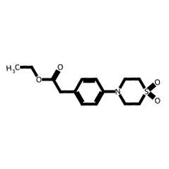 CCOC(=O)Cc1ccc(N2CCS(=O)(=O)CC2)cc1